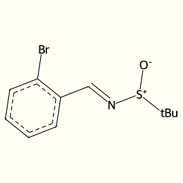 CC(C)(C)[S+]([O-])/N=C/c1ccccc1Br